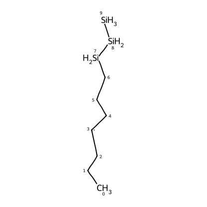 CCC[CH]CCC[SiH2][SiH2][SiH3]